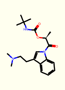 C[C@H](OC(=O)NC(C)(C)C)C(=O)n1cc(CCN(C)C)c2ccccc21